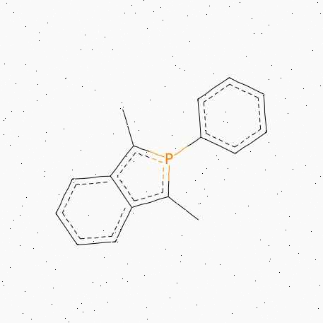 Cc1c2ccccc2c(C)p1-c1ccccc1